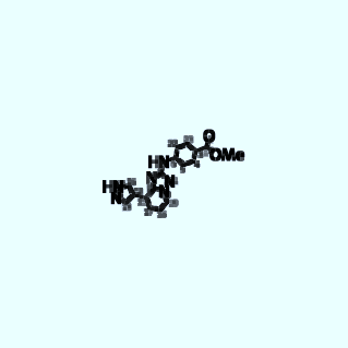 COC(=O)c1ccc(Nc2nc3c(-c4cn[nH]c4)cccn3n2)cc1